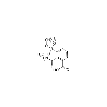 CO[Si](OC)(OC)c1cccc(C(=O)O)c1C(N)=O